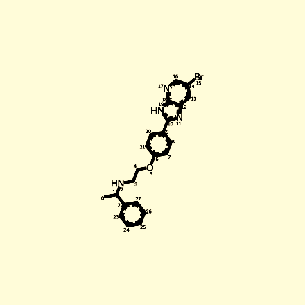 CC(NCCOc1ccc(-c2nc3cc(Br)cnc3[nH]2)cc1)c1ccccc1